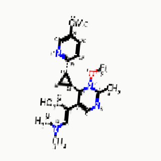 CCON1C(C)=NC=C(C(=CN(C)C)C(=O)O)C1[C@H]1C[C@@H]1c1ccc(OC)cn1